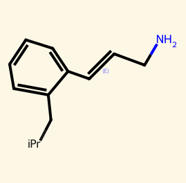 CC(C)Cc1ccccc1/C=C/CN